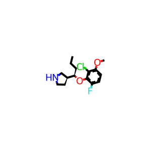 CCC[C@@H](Oc1c(F)ccc(OC)c1Cl)[C@H]1CCNC1